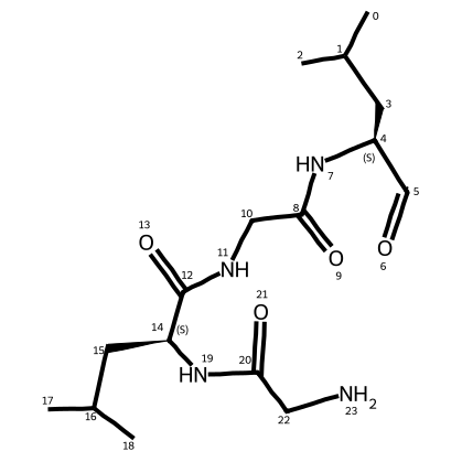 CC(C)C[C@@H]([C]=O)NC(=O)CNC(=O)[C@H](CC(C)C)NC(=O)CN